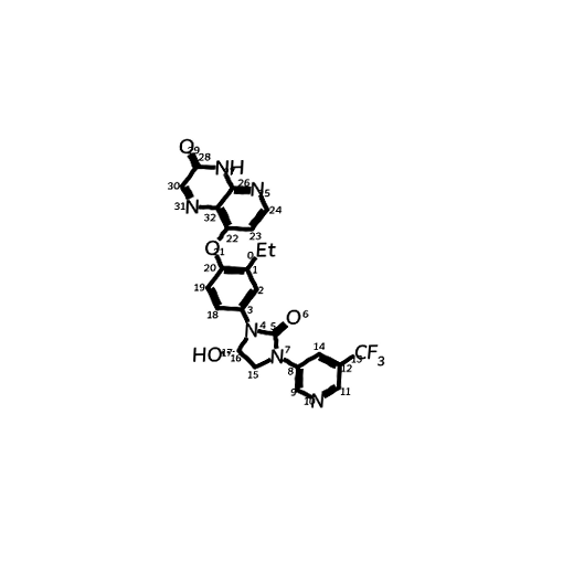 CCc1cc(N2C(=O)N(c3cncc(C(F)(F)F)c3)C[C@@H]2O)ccc1Oc1ccnc2[nH]c(=O)cnc12